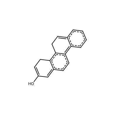 OC1=CCc2c3c(ccc2=C1)=c1ccccc1=CC3